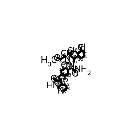 COC[C@H](C)n1c(=O)c(-c2cccc(Cl)c2Cl)cn(C(C(N)=O)c2ccc3c(c2)C[C@@]2(C3)C(=O)Nc3ncccc32)c1=O